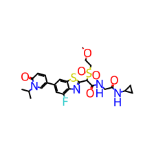 COCCS(=O)(=O)C(C(=O)NCC(=O)NC1CC1)c1nc2c(F)cc(-c3ccc(=O)n(C(C)C)c3)cc2s1